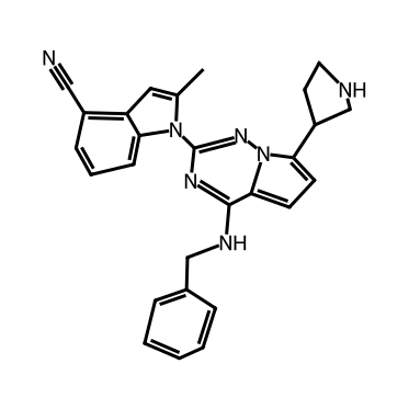 Cc1cc2c(C#N)cccc2n1-c1nc(NCc2ccccc2)c2ccc(C3CCNC3)n2n1